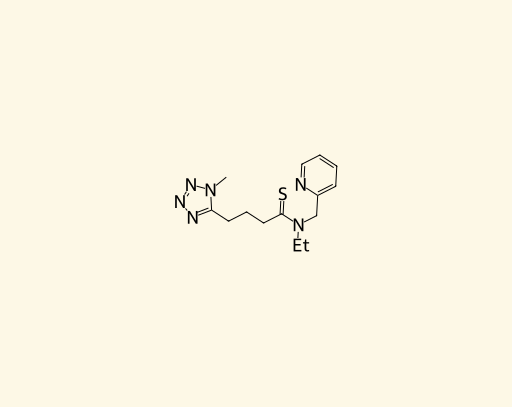 CCN(Cc1ccccn1)C(=S)CCCc1nnnn1C